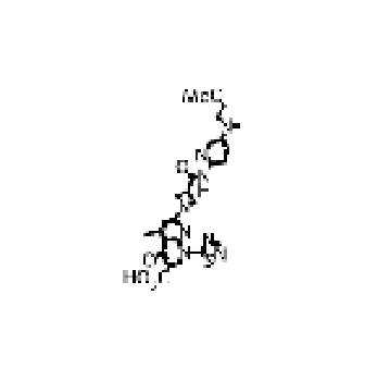 COCCN(C)c1ccc(NC(=O)C2CN(c3cc(C)c4c(=O)c(C(=O)O)cn(-c5ncns5)c4n3)C2)nc1